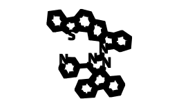 c1cncc(-c2nc(-n3c4ccccc4c4cc5ccc6c7ccccc7sc6c5cc43)nc3c4ccccc4c4ccccc4c23)c1